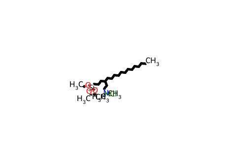 CCCCCCCCCCCCCC(CCC[Si](OCC)(OCC)OCC)CCN(C)C.Cl